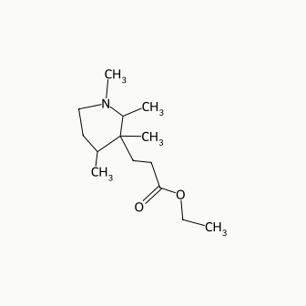 CCOC(=O)CCC1(C)C(C)CCN(C)C1C